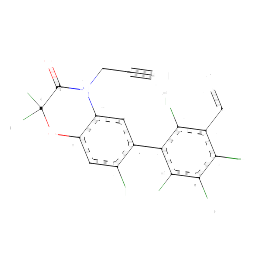 C#CCN1C(=O)C(F)(F)Oc2cc(F)c(-c3c(F)c(F)c(F)c(C=C)c3F)cc21